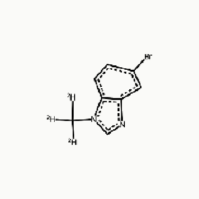 [2H]C([2H])([2H])n1cnc2cc(Br)ccc21